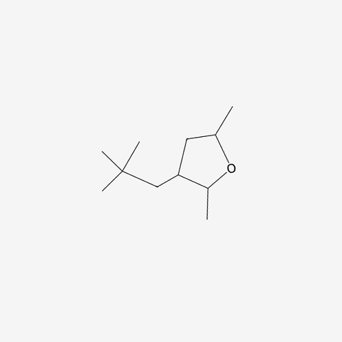 CC1CC(CC(C)(C)C)C(C)O1